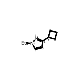 CCn1ccc(C2CCC2)n1